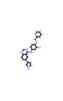 Clc1cc(Nc2ncnc3ccc(-c4cc[nH]c4)cc23)ccc1OCc1ccccn1